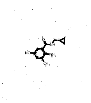 Cc1cc(C#N)cc(C(=O)NCC2CC2)c1N